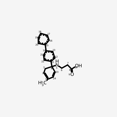 CC1=CCC(NCCC(=O)O)(c2ccc(-c3ccccc3)cc2)C=C1